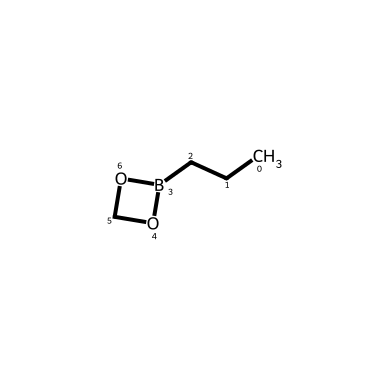 CCCB1OCO1